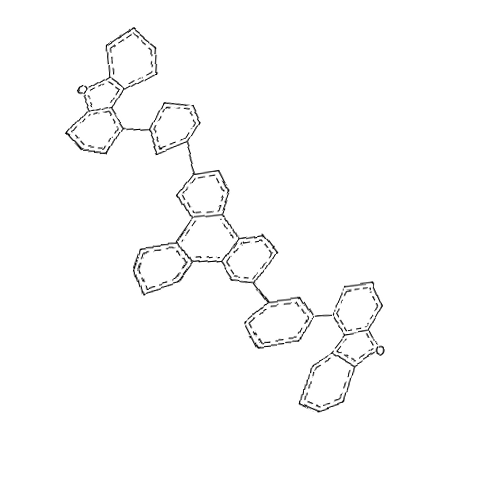 c1cc(-c2ccc3c4ccc(-c5cccc(-c6cccc7oc8ccccc8c67)c5)cc4c4ccccc4c3c2)cc(-c2cccc3oc4ccccc4c23)c1